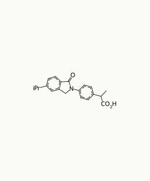 CC(C)c1ccc2c(c1)CN(c1ccc(C(C)C(=O)O)cc1)C2=O